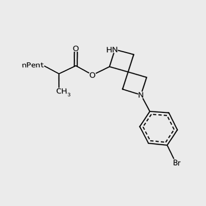 CCCCCC(C)C(=O)OC1NCC12CN(c1ccc(Br)cc1)C2